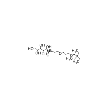 CCC(CC)(CC)COCCCOCCNC(=O)C(O)C(O)C(O)C(O)CO